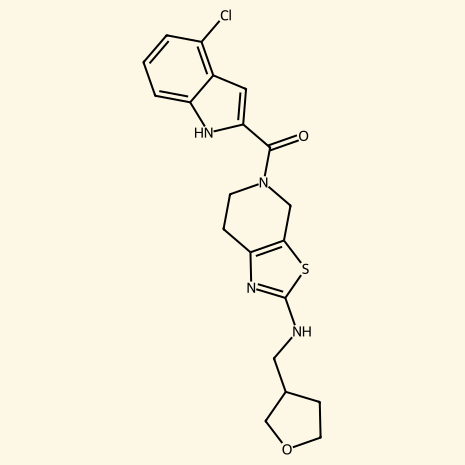 O=C(c1cc2c(Cl)cccc2[nH]1)N1CCc2nc(NCC3CCOC3)sc2C1